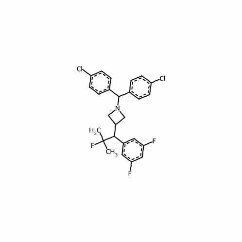 CC(C)(F)C(c1cc(F)cc(F)c1)C1CN(C(c2ccc(Cl)cc2)c2ccc(Cl)cc2)C1